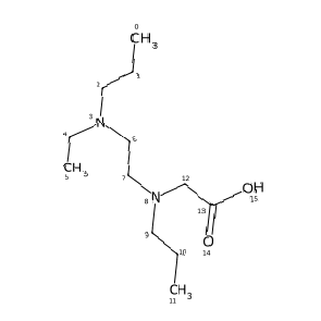 CCCN(CC)CCN(CCC)CC(=O)O